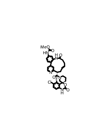 COC(=O)Nc1ccc2c(c1)NC(=O)CC/C=C/C[C@H](C(=O)N1CCC[C@@]3(C1)OC(=O)Nc1ccc(Cl)c(F)c13)c1cc-2ccn1